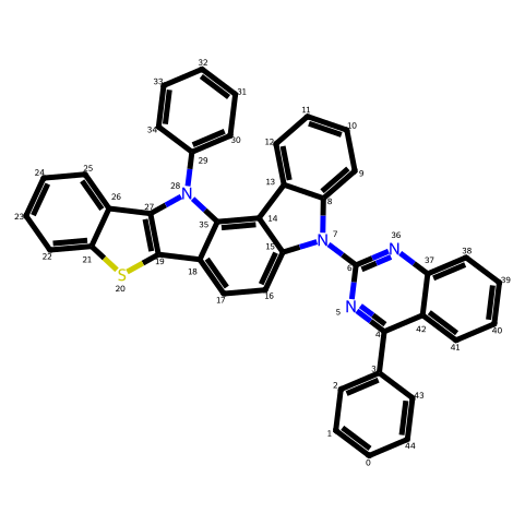 c1ccc(-c2nc(-n3c4ccccc4c4c3ccc3c5sc6ccccc6c5n(-c5ccccc5)c34)nc3ccccc23)cc1